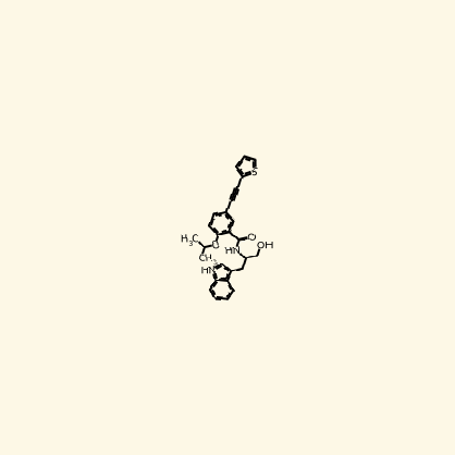 CC(C)Oc1ccc(C#Cc2cccs2)cc1C(=O)N[C@@H](CO)Cc1c[nH]c2ccccc12